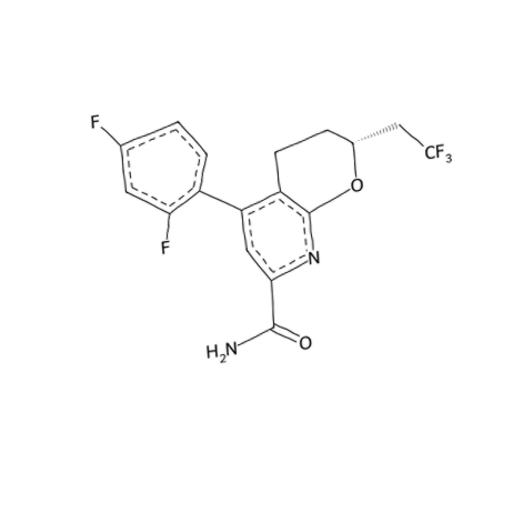 NC(=O)c1cc(-c2ccc(F)cc2F)c2c(n1)O[C@@H](CC(F)(F)F)CC2